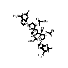 C#C[C@@]1(C[C](OC(=O)CCCC)[C@@]2(C#C)O[C@@H](n3cnc4c(N)nc(F)nc43)C[C@@H]2OC(=O)CC)O[C@@H](n2cnc3c(N)nc(F)nc32)C[C@@H]1OC(=O)CCCC